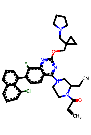 C=CC(=O)N1CCN(c2nc(OCC3(CN4CCCC4)CC3)nc3c(F)c(-c4cccc5cccc(Cl)c45)ccc23)CC1CC#N